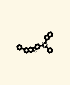 c1ccc(-c2ccc3cc4oc5cc(-c6nc(-c7ccccc7)nc(-c7ccc8ccccc8c7)n6)ccc5c4cc3c2)cc1